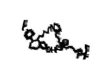 O=S(=O)(CCCCC(F)(F)F)CCC[C@@H]1CCCN1CCCCCC1=C(c2ccc(F)cc2)CCCc2cc(O)ccc21